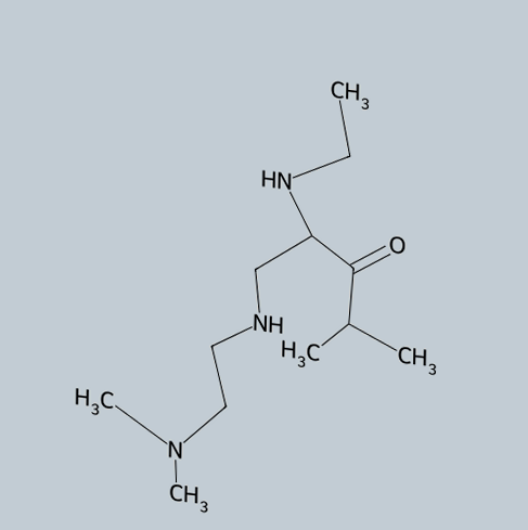 CCNC(CNCCN(C)C)C(=O)C(C)C